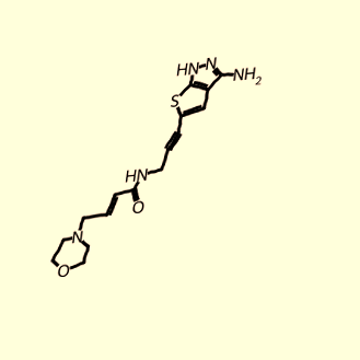 Nc1n[nH]c2sc(C#CCNC(=O)/C=C/CN3CCOCC3)cc12